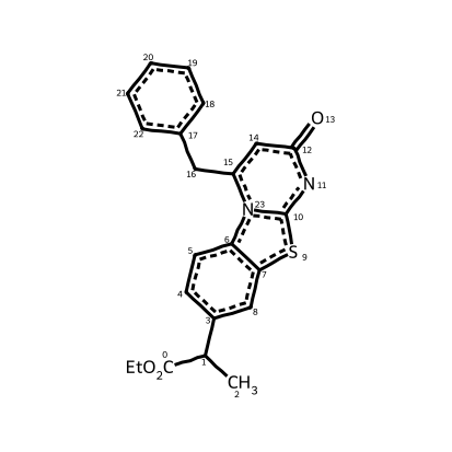 CCOC(=O)C(C)c1ccc2c(c1)sc1nc(=O)cc(Cc3ccccc3)n12